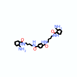 NCc1ccccc1C(=O)NCCCCNC(=O)c1ccc(C(=O)NCCCCNC(=O)c2ccccc2CN)cc1